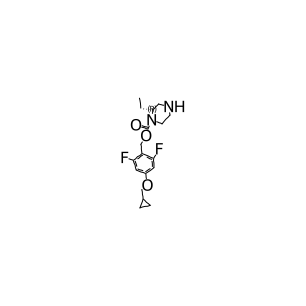 CC[C@@H]1CNCCN1C(=O)OCc1c(F)cc(OCC2CC2)cc1F